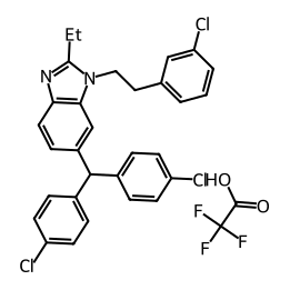 CCc1nc2ccc(C(c3ccc(Cl)cc3)c3ccc(Cl)cc3)cc2n1CCc1cccc(Cl)c1.O=C(O)C(F)(F)F